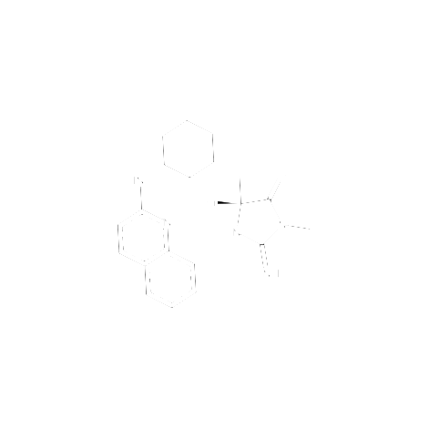 CCC(C)[C@]1(C[C@H]2CCC[C@@H](Nc3ccc4ccccc4n3)C2)NC(=N)N(C)C1=O